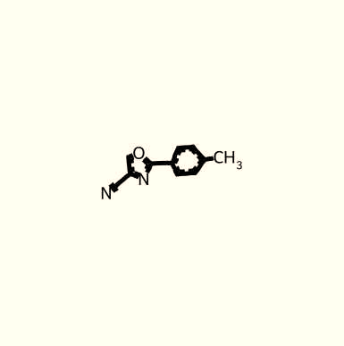 Cc1ccc(-c2nc(C#N)co2)cc1